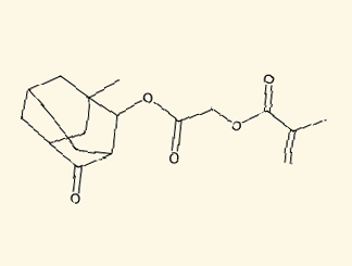 C=C(C)C(=O)OCC(=O)OC1C2CC3CC(CC1(C)C3)C2=O